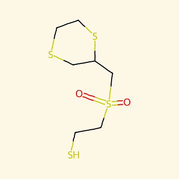 O=S(=O)(CCS)CC1CSCCS1